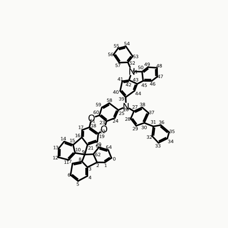 C1=CC2c3ccccc3C3(c4ccccc4-c4cc5c(cc43)Oc3cc(N(c4ccc(-c6ccccc6)cc4)c4ccc6c(c4)c4ccccc4n6-c4ccccc4)ccc3O5)C2C=C1